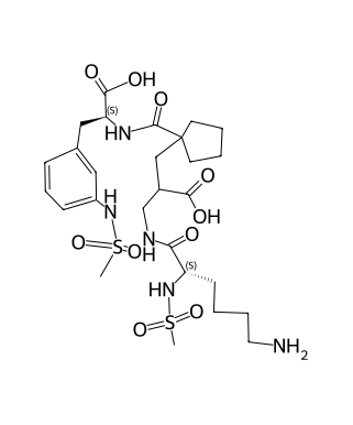 CS(=O)(=O)Nc1cccc(C[C@H](NC(=O)C2(CC(CNC(=O)[C@H](CCCCN)NS(C)(=O)=O)C(=O)O)CCCC2)C(=O)O)c1